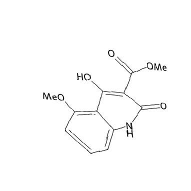 COC(=O)c1c(O)c2c(OC)cccc2[nH]c1=O